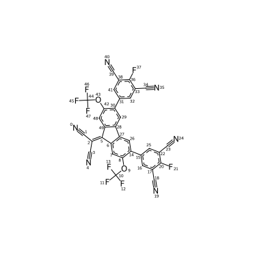 N#CC(C#N)=C1c2cc(OC(F)(F)F)c(-c3cc(C#N)c(F)c(C#N)c3)cc2-c2cc(-c3cc(C#N)c(F)c(C#N)c3)c(OC(F)(F)F)cc21